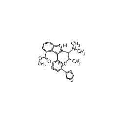 COC(=O)c1cccc2[nH]c(C(C(C)C)N(C)C)c(-c3cncc(-c4ccsc4)c3)c12